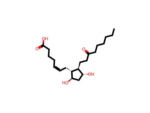 CCCCCCC(=O)CC[C@@H]1[C@@H](C/C=C\CCCC(=O)O)[C@H](O)C[C@H]1O